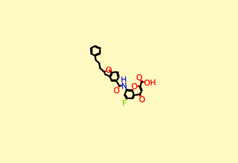 O=C(Nc1cc(F)cc2c(=O)cc(C(=O)O)oc12)c1ccc2c(c1)CC(CCCc1ccccc1)O2